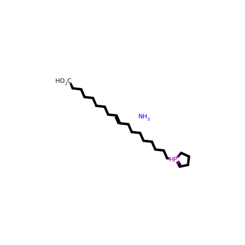 N.O=C(O)CCCCCCCC=CCCCCCCCC[PH]1=CCCC1